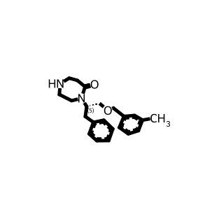 Cc1cccc(COC[C@H](Cc2ccccc2)N2CCNCCC2=O)c1